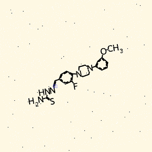 COc1cccc(N2CCN(c3ccc(/C=N/NC(N)=S)cc3F)CC2)c1